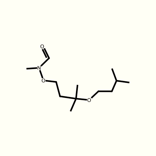 CC(C)CCOC(C)(C)CCON(C)C=O